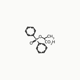 CC(OP(=O)(c1ccccc1)c1ccccc1)C(=O)O